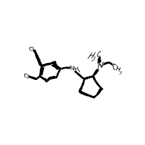 CN(C)C1CCCC1Nc1ccc(Cl)c(Cl)c1